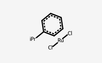 CC(C)c1ccccc1.[Cl][Ru][Cl]